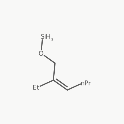 CCCC=C(CC)CO[SiH3]